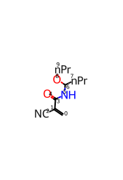 C=C(C#N)C(=O)NC(CCC)OCCC